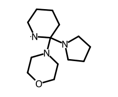 C1CCC(N2CCCC2)(N2CCOCC2)[N]C1